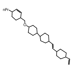 C=CC1CCC(/C=C/C2CCC(C3CCC(OCC4C=CC(CCC)CC4)CC3)CC2)CC1